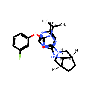 Cc1cc(N2C[C@H]3CC[C@@H](C2)[C@H]3Nc2nc(Oc3cccc(F)c3)n(C(C)C)n2)ncn1